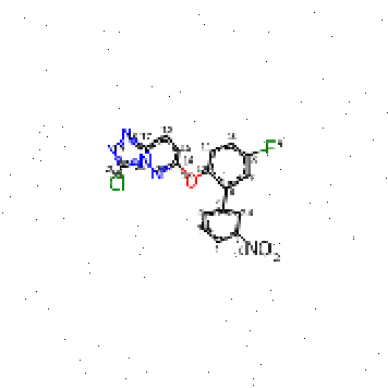 O=[N+]([O-])c1cccc(-c2cc(F)ccc2Oc2ccc3nnc(Cl)n3n2)c1